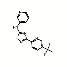 FC(F)(F)c1ccc(-c2noc(Nc3cccnc3)n2)nc1